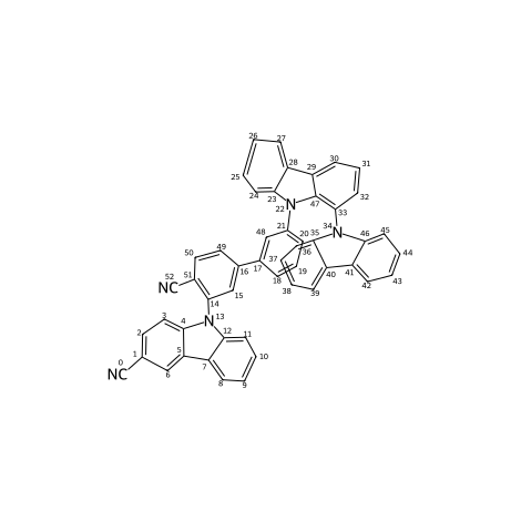 N#Cc1ccc2c(c1)c1ccccc1n2-c1cc(-c2cccc(-n3c4ccccc4c4cccc(-n5c6ccccc6c6ccccc65)c43)c2)ccc1C#N